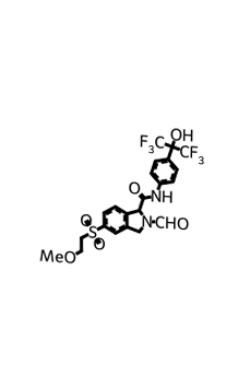 COCCS(=O)(=O)c1ccc2c(c1)CN(C=O)C2C(=O)Nc1ccc(C(O)(C(F)(F)F)C(F)(F)F)cc1